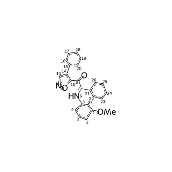 COc1cccc(NC(C(=O)c2oncc2-c2ccccc2)c2ccccc2)c1